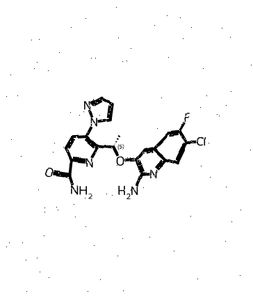 C[C@H](Oc1cc2cc(F)c(Cl)cc2nc1N)c1nc(C(N)=O)ccc1-n1cccn1